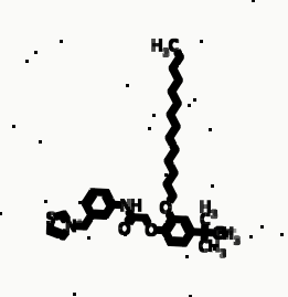 CCCCCCCCCCCCCCOc1cc(C(C)(C)C)ccc1OCC(=O)Nc1cccc(C[n+]2ccsc2)c1.[Br-]